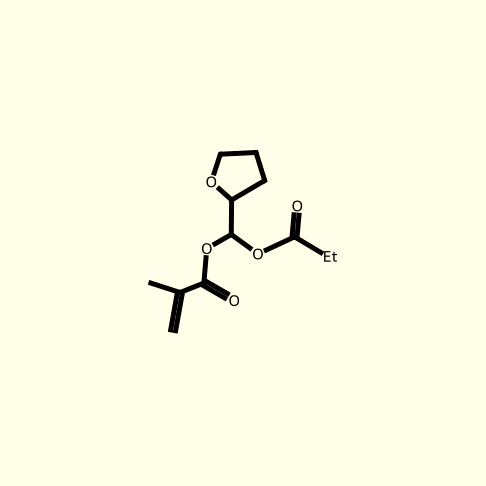 C=C(C)C(=O)OC(OC(=O)CC)C1CCCO1